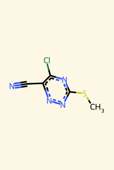 CSc1nnc(C#N)c(Cl)n1